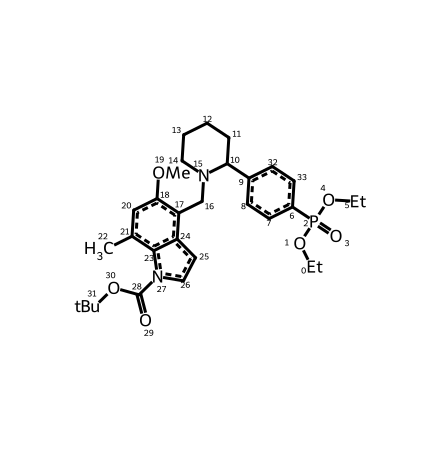 CCOP(=O)(OCC)c1ccc(C2CCCCN2Cc2c(OC)cc(C)c3c2ccn3C(=O)OC(C)(C)C)cc1